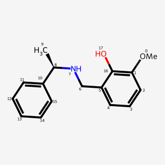 COc1cccc(CN[C@H](C)c2ccccc2)c1O